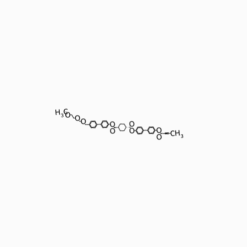 CC#CC(=O)Oc1ccc(-c2ccc(OC(=O)[C@H]3CC[C@H](C(=O)Oc4ccc(-c5ccc(COCOCCOC)cc5)cc4)CC3)cc2)cc1